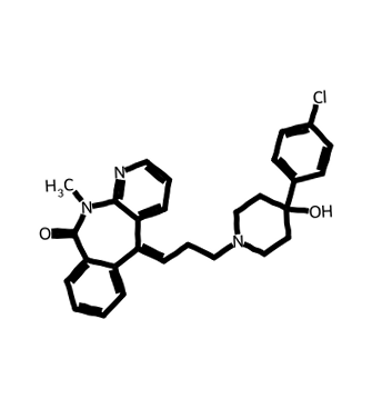 CN1C(=O)c2ccccc2/C(=C/CCN2CCC(O)(c3ccc(Cl)cc3)CC2)c2cccnc21